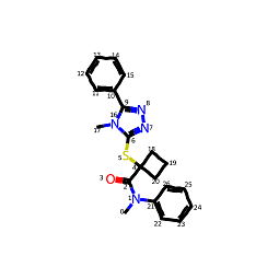 CN(C(=O)C1(Sc2nnc(-c3ccccc3)n2C)CCC1)c1ccccc1